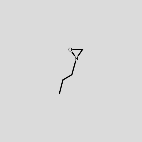 CCCN1CO1